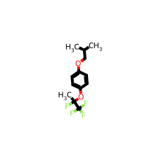 CC(C)COc1ccc(OC(C)(F)C(F)(F)F)cc1